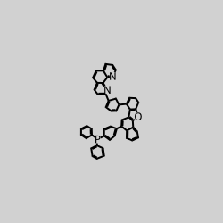 C1=CC(C2=CCCc3oc4c(cc(-c5ccc(P(c6ccccc6)c6ccccc6)cc5)c5ccccc54)c32)CC(c2ccc3ccc4cccnc4c3n2)=C1